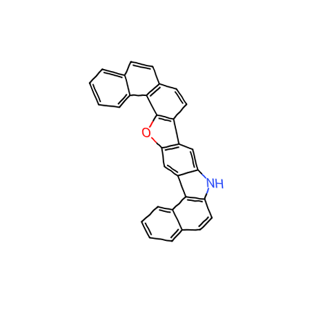 c1ccc2c(c1)ccc1[nH]c3cc4c(cc3c12)oc1c4ccc2ccc3ccccc3c21